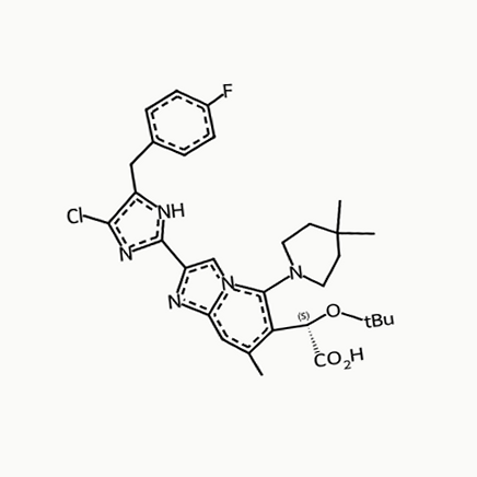 Cc1cc2nc(-c3nc(Cl)c(Cc4ccc(F)cc4)[nH]3)cn2c(N2CCC(C)(C)CC2)c1[C@H](OC(C)(C)C)C(=O)O